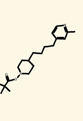 Cc1cc(CCCCC2CCN(OC(=O)C(C)(C)C)CC2)ccn1